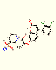 CC(Oc1ccc2c(-c3cccc(F)c3Cl)cc(=O)oc2c1)C(=O)N1CCCC(S(N)(=O)=O)C1